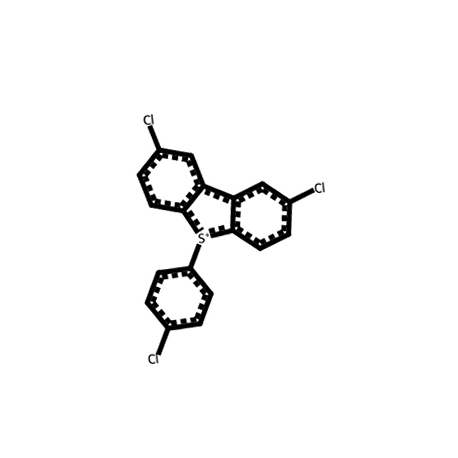 Clc1ccc(-[s+]2c3ccc(Cl)cc3c3cc(Cl)ccc32)cc1